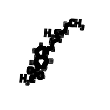 CCC[SiH2]CCCN1CCc2cc(S(C)(=O)=O)ccc21